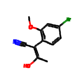 COc1cc(Br)ccc1/C(C#N)=C(\C)O